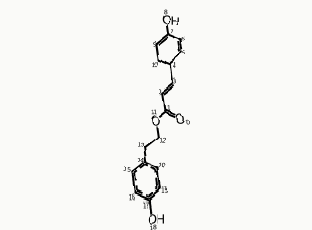 O=C(C=CC1C=CC(O)=CC1)OCCc1ccc(O)cc1